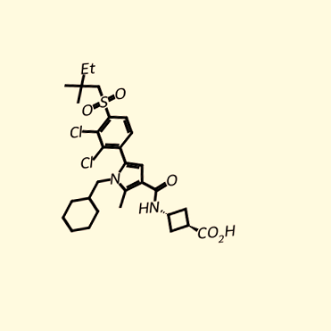 CCC(C)(C)CS(=O)(=O)c1ccc(-c2cc(C(=O)N[C@H]3C[C@H](C(=O)O)C3)c(C)n2CC2CCCCC2)c(Cl)c1Cl